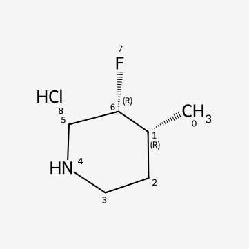 C[C@@H]1CCNC[C@@H]1F.Cl